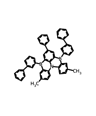 Cc1ccc2c(c1)B(c1cccc(-c3ccccc3)c1)c1cc(-c3ccccc3)cc3c1N2c1ccc(C)cc1B3c1cccc(-c2ccccc2)c1